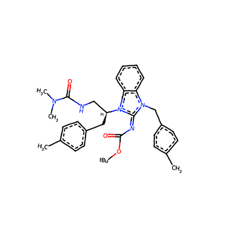 Cc1ccc(C[C@@H](CNC(=O)N(C)C)n2c(=NC(=O)OC(C)(C)C)n(Cc3ccc(C)cc3)c3ccccc32)cc1